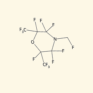 FCN1C(F)(F)C(F)(C(F)(F)F)OC(F)(C(F)(F)F)C1(F)F